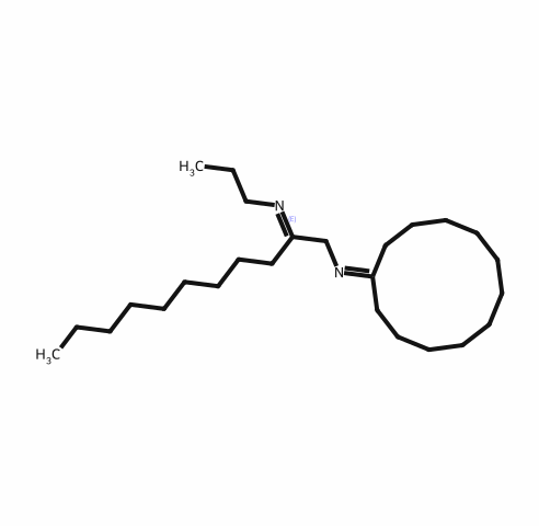 CCCCCCCCC/C(CN=C1CCCCCCCCCCC1)=N\CCC